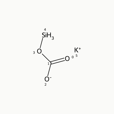 O=C([O-])O[SiH3].[K+]